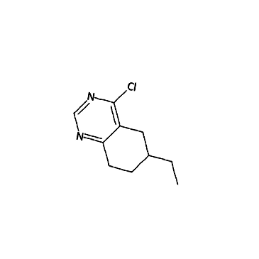 CCC1CCc2ncnc(Cl)c2C1